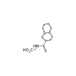 O=C(O)CNC(=S)c1ccc2ccccc2c1